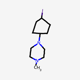 CN1CCN(C2CCC(I)CC2)CC1